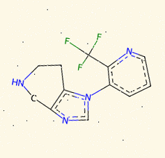 FC(F)(F)c1ncccc1-n1cnc2c1CCNC2